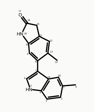 Cc1ccc2[nH]cc(-c3cc4c(cc3C)CC(=O)N4)c2c1